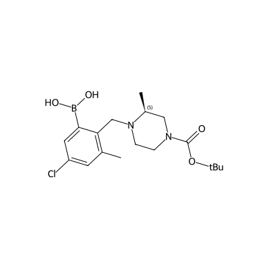 Cc1cc(Cl)cc(B(O)O)c1CN1CCN(C(=O)OC(C)(C)C)C[C@@H]1C